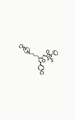 O=C1/C(=C/c2oc(-c3ccc(Cl)cc3)cc2CCCCN2CCN(Cl)CC2)SC(=S)N1C1CC2CCC1C2